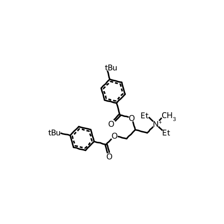 CC[N+](C)(CC)CC(COC(=O)c1ccc(C(C)(C)C)cc1)OC(=O)c1ccc(C(C)(C)C)cc1